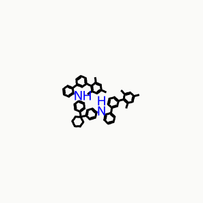 Cc1cc(C)c(-c2cccc(-c3ccccc3Nc3ccc(C4(c5ccc(Nc6ccccc6-c6cccc(-c7c(C)cc(C)cc7C)c6)cc5)CCCCC4)cc3)c2)c(C)c1